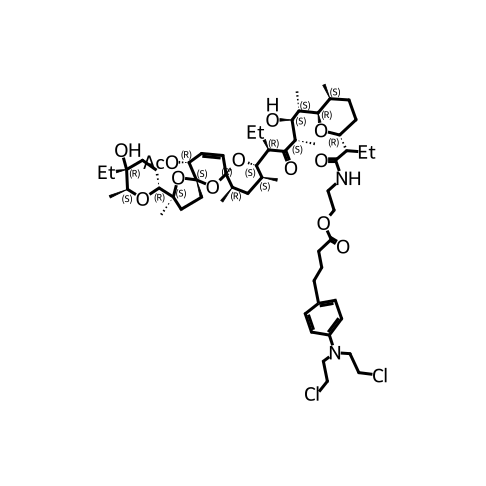 CCC(C(=O)NCCOC(=O)CCCc1ccc(N(CCCl)CCCl)cc1)[C@H]1CC[C@H](C)[C@H]([C@@H](C)[C@H](O)[C@H](C)C(=O)[C@H](CC)[C@H]2O[C@]3(C=C[C@@H](OC(C)=O)[C@]4(CC[C@@](C)([C@H]5CC[C@](O)(CC)[C@H](C)O5)O4)O3)[C@H](C)C[C@@H]2C)O1